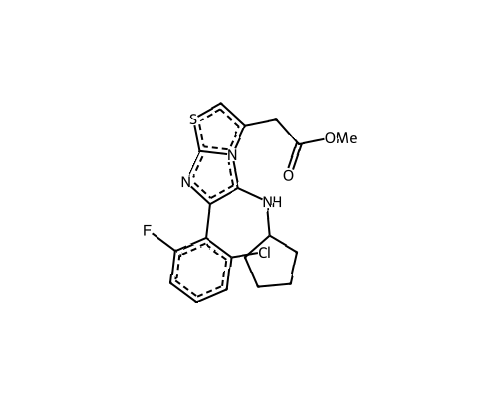 COC(=O)Cc1csc2nc(-c3c(F)cccc3Cl)c(NC3CCCC3)n12